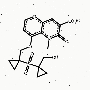 CCOC(=O)c1cc2nccc(OCC3(S(=O)(=O)C4(CO)CC4)CC3)c2n(C)c1=O